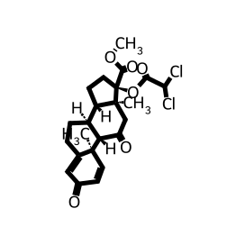 COC(=O)[C@@]1(OC(=O)C(Cl)Cl)CC[C@H]2[C@@H]3CCC4=CC(=O)C=C[C@]4(C)[C@H]3C(=O)C[C@@]21C